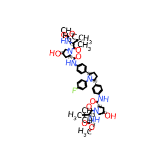 COC(=O)N[C@H](C(=O)N1C[C@@H](O)C[C@H]1C(=O)Nc1ccc([C@H]2CC[C@H](c3ccc(NC(=O)[C@@H]4C[C@H](O)CN4C(=O)[C@@H](NC(=O)OC)C(C)(C)C)cc3)N2c2ccc(F)cc2)cc1)C(C)(C)C